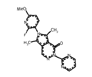 COc1ccc(-n2c(C)c3cnn(-c4ncccn4)c(=O)c3c2C)c(F)n1